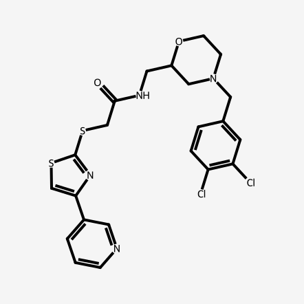 O=C(CSc1nc(-c2cccnc2)cs1)NCC1CN(Cc2ccc(Cl)c(Cl)c2)CCO1